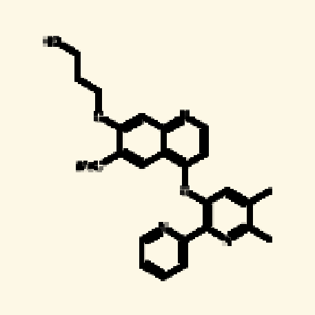 COc1cc2c(Oc3cc(C)c(C)nc3-c3ccccn3)ccnc2cc1OCCCO